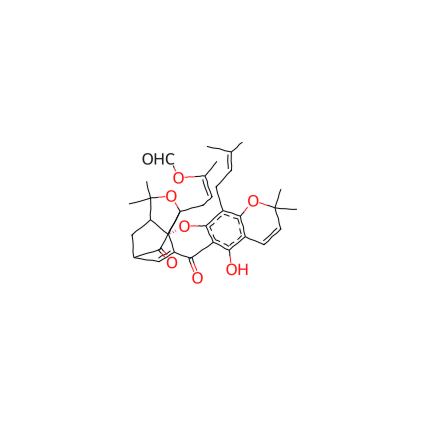 CC(C)=CCc1c2c(c(O)c3c1O[C@]14C(=CC5CC1C(C)(C)OC4(C/C=C(/C)OC=O)C5=O)C3=O)C=CC(C)(C)O2